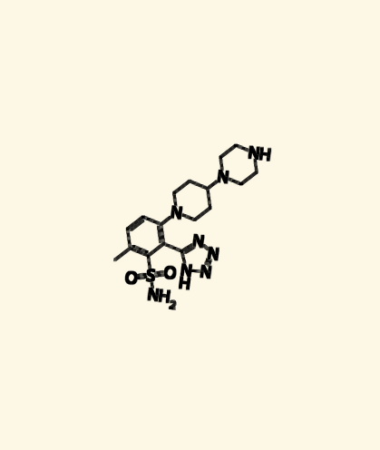 Cc1ccc(N2CCC(N3CCNCC3)CC2)c(-c2nnn[nH]2)c1S(N)(=O)=O